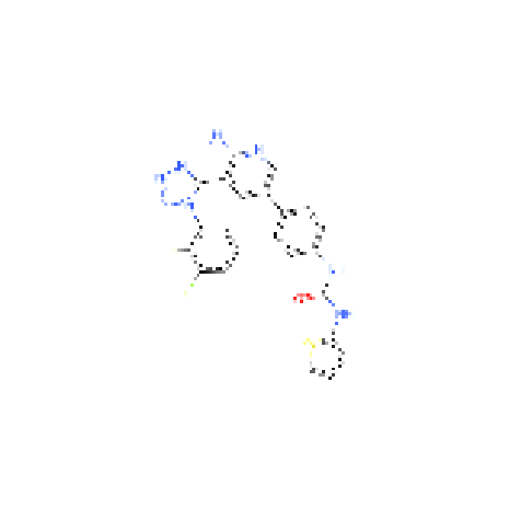 Nc1ncc(-c2ccc(NC(=O)Nc3cccs3)cc2)cc1-c1nnnn1-c1cccc(F)c1F